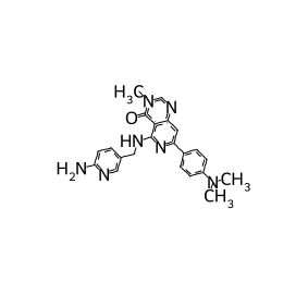 CN(C)c1ccc(-c2cc3ncn(C)c(=O)c3c(NCc3ccc(N)nc3)n2)cc1